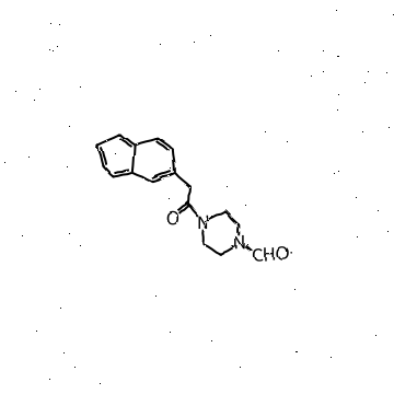 O=[C]N1CCN(C(=O)Cc2ccc3ccccc3c2)CC1